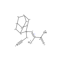 C/C(=C\C1(CC#N)C2CC3CC(C2)CC1C3)C(=O)O